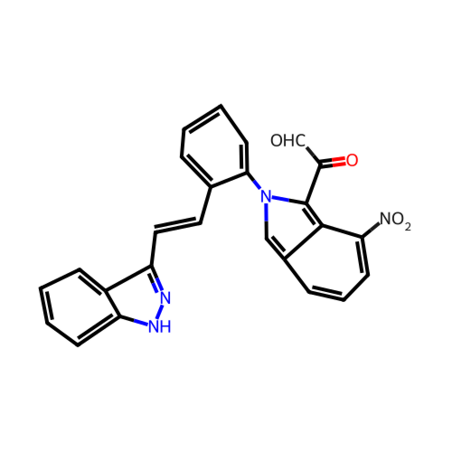 O=CC(=O)c1c2c([N+](=O)[O-])cccc2cn1-c1ccccc1C=Cc1n[nH]c2ccccc12